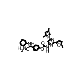 Cc1cc(C)n(-c2cc(NC(=O)Oc3ccc(C(=O)Nc4ccccc4N)cc3)nc(-c3ccc(C)o3)n2)n1